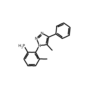 Cc1cccc(P)c1-n1nnc(-c2ccccc2)c1C